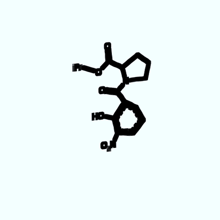 CC(C)OC(=O)C1CCCN1C(=O)c1cccc([N+](=O)[O-])c1O